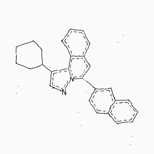 c1ccc2cc(-c3cc4ccccc4c4c(C5CCCCC5)cnn34)ccc2c1